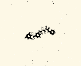 Cc1cc(C)c(NC(=O)c2ccc3nc(NC(=O)NC(C)Cc4ccccc4)sc3c2)c(C)c1